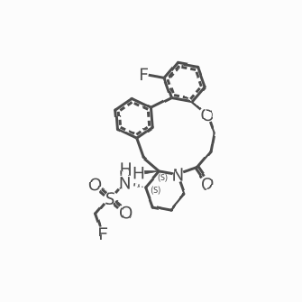 O=C1CCOc2cccc(F)c2-c2cccc(c2)C[C@H]2[C@@H](NS(=O)(=O)CF)CCCN12